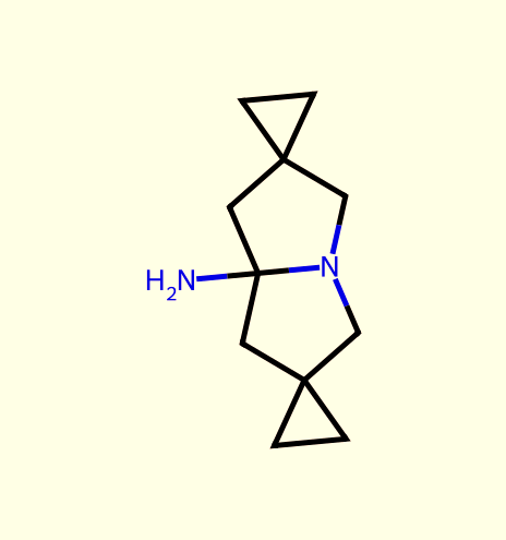 NC12CC3(CC3)CN1CC1(CC1)C2